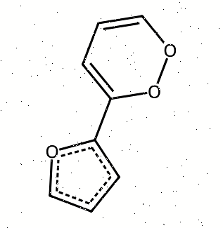 C1=COOC(c2ccco2)=C1